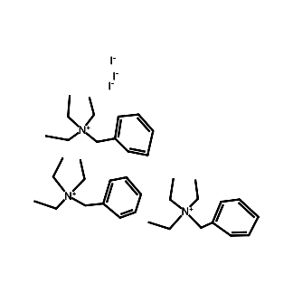 CC[N+](CC)(CC)Cc1ccccc1.CC[N+](CC)(CC)Cc1ccccc1.CC[N+](CC)(CC)Cc1ccccc1.[I-].[I-].[I-]